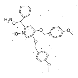 COc1ccc(COc2cc(C(ON)c3ccccc3)[n+](O)cc2OCc2ccc(OC)cc2)cc1